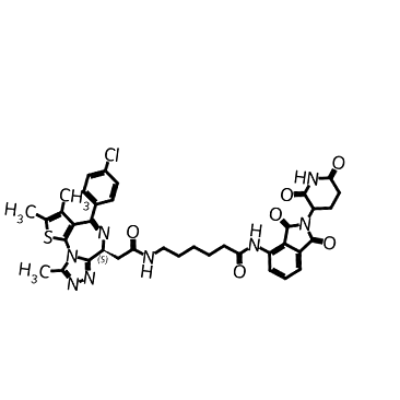 Cc1sc2c(c1C)C(c1ccc(Cl)cc1)=N[C@@H](CC(=O)NCCCCCC(=O)Nc1cccc3c1C(=O)N(C1CCC(=O)NC1=O)C3=O)c1nnc(C)n1-2